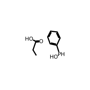 CCC(=O)O.OPc1ccccc1